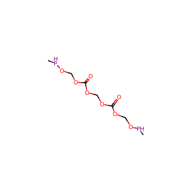 CPOCOC(=O)OCOC(=O)OCOPC